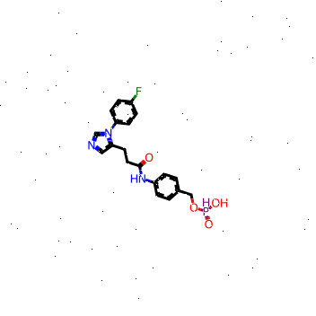 O=C(CCc1cncn1-c1ccc(F)cc1)Nc1ccc(CO[PH](=O)O)cc1